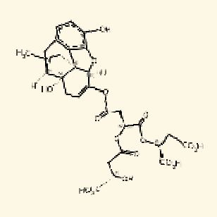 CN1CC[C@]23c4c5ccc(O)c4O[C@H]2C(OC(=O)C[C@H](OC(=O)C[C@H](O)C(=O)O)C(=O)O[C@@H](CC(=O)O)C(=O)O)=CC[C@@]3(O)[C@H]1C5